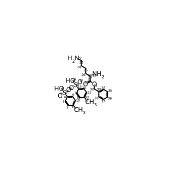 Cc1ccc(S(=O)(=O)O)cc1.Cc1ccc(S(=O)(=O)O)cc1.NCCCC[C@H](N)C(=O)OCc1ccccc1